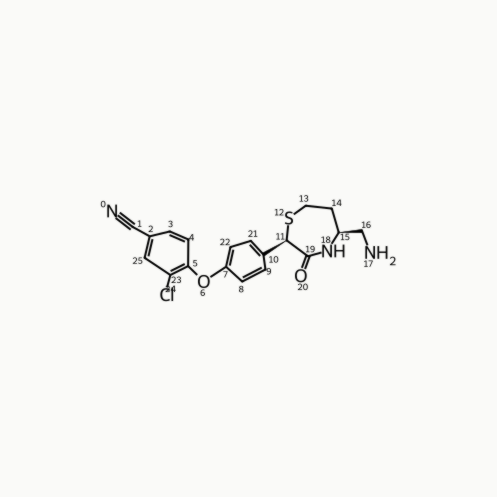 N#Cc1ccc(Oc2ccc([C@H]3SCC[C@@H](CN)NC3=O)cc2)c(Cl)c1